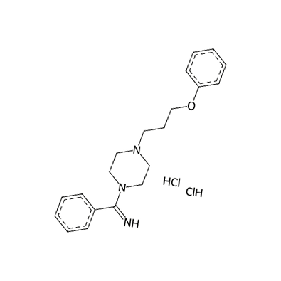 Cl.Cl.N=C(c1ccccc1)N1CCN(CCCOc2ccccc2)CC1